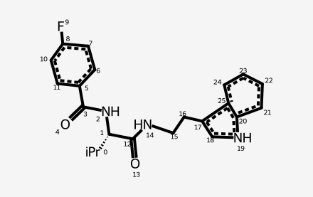 CC(C)[C@H](NC(=O)c1ccc(F)cc1)C(=O)NCCc1c[nH]c2ccccc12